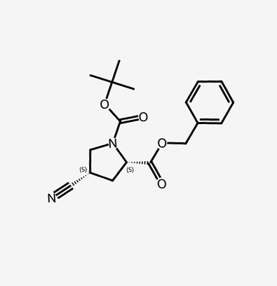 CC(C)(C)OC(=O)N1C[C@@H](C#N)C[C@H]1C(=O)OCc1ccccc1